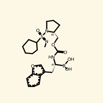 CN=S(=O)(C1CCCCC1)N1CCC[C@@H]1COC(=O)N[C@@H](Cc1coc2ccccc12)B(O)O